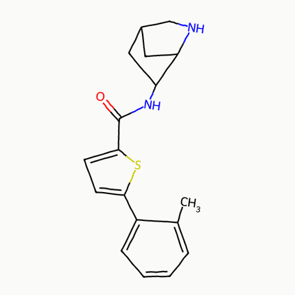 Cc1ccccc1-c1ccc(C(=O)NC2CC3CNC2C3)s1